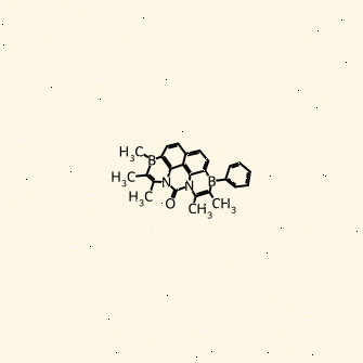 CB1C(C)=C(C)N2C(=O)N3C(C)=C(C)B(c4ccccc4)c4ccc5ccc1c2c5c43